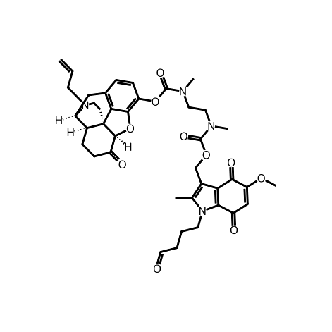 C=CCN1CC[C@]23c4c5ccc(OC(=O)N(C)CCN(C)C(=O)OCc6c7c(n(CCCC=O)c6C)C(=O)C=C(OC)C7=O)c4O[C@H]2C(=O)CC[C@H]3[C@H]1C5